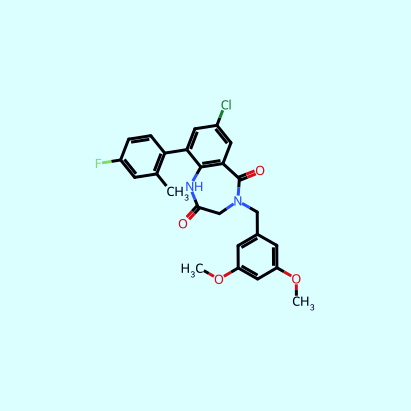 COc1cc(CN2CC(=O)Nc3c(cc(Cl)cc3-c3ccc(F)cc3C)C2=O)cc(OC)c1